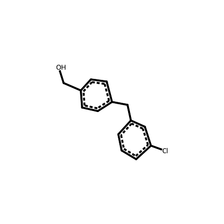 OCc1ccc(Cc2cccc(Cl)c2)cc1